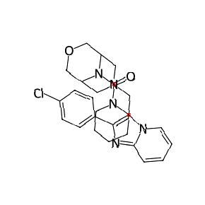 O=C(N1CCCCC1)N1C2COCC1CN(Cc1c(-c3ccc(Cl)cc3)nc3ccccn13)C2